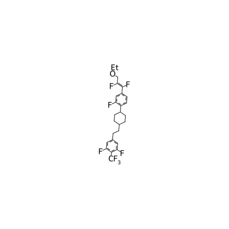 CCOC/C(F)=C(\F)c1ccc(C2CCC(CCc3cc(F)c(C(F)(F)F)c(F)c3)CC2)c(F)c1